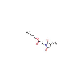 CCCCOC(=O)CCN1C(=O)C=C(C)C1=O